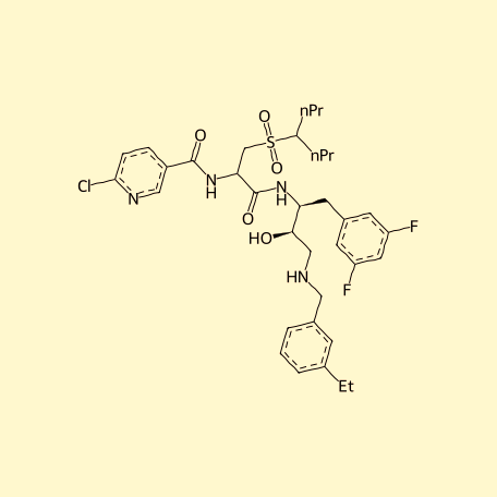 CCCC(CCC)S(=O)(=O)CC(NC(=O)c1ccc(Cl)nc1)C(=O)N[C@@H](Cc1cc(F)cc(F)c1)[C@H](O)CNCc1cccc(CC)c1